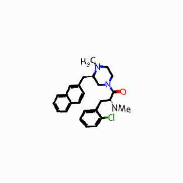 CN[C@H](Cc1ccccc1Cl)C(=O)N1CCN(C)[C@H](Cc2ccc3ccccc3c2)C1